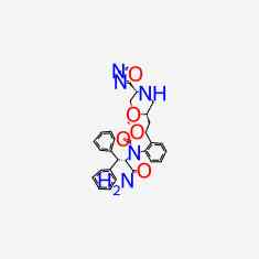 COC(=O)N(c1ccccc1CC[C@@H]1CN[C@H](c2nnco2)CO1)[C@H](C(N)=O)C(c1ccccc1)c1ccccc1